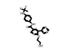 O=C(Nc1ccc(NC(F)(F)I)cc1)c1cnc(OCCO)c(-c2cncnc2)c1